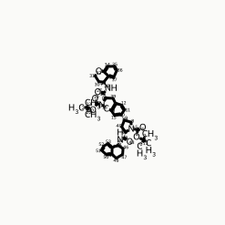 CC(C)(C)OC(=O)N1C[C@@H](c2ccc3c(c2)CN(C(=O)OC(C)(C)C)[C@H](C(=O)N[C@@H]2CCOc4ccccc42)C3)C[C@H]1C(=O)N[C@@H]1CCCc2ccccc21